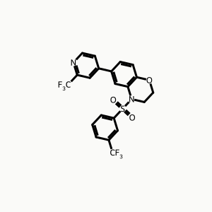 O=S(=O)(c1cccc(C(F)(F)F)c1)N1CCOc2ccc(-c3ccnc(C(F)(F)F)c3)cc21